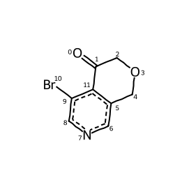 O=C1COCc2cncc(Br)c21